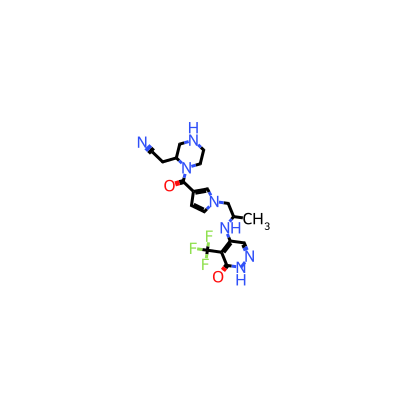 CC(Cn1ccc(C(=O)N2CCNCC2CC#N)c1)Nc1cn[nH]c(=O)c1C(F)(F)F